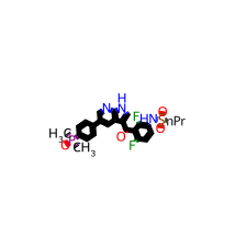 CCCS(=O)(=O)Nc1ccc(F)c(C(=O)c2c[nH]c3ncc(-c4ccc(P(C)(C)=O)cc4)cc23)c1F